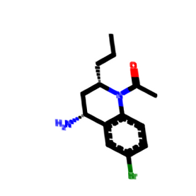 CCC[C@H]1C[C@@H](N)c2cc(Br)ccc2N1C(C)=O